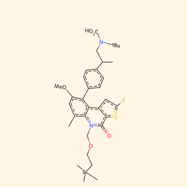 COc1cc(C)c2c(c1-c1ccc(C(C)CN(C(=O)O)C(C)(C)C)cc1)c1cc(F)sc1c(=O)n2COCC[Si](C)(C)C